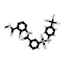 COC(=O)c1cccc(NC(=O)c2cccc(S(=O)(=O)Nc3ccc(C(F)(F)F)cc3)c2)c1Cl